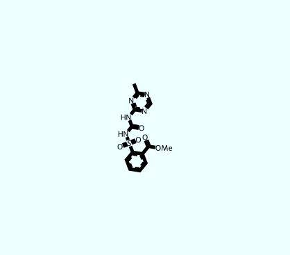 COC(=O)c1ccccc1S(=O)(=O)NC(=O)Nc1ncnc(C)n1